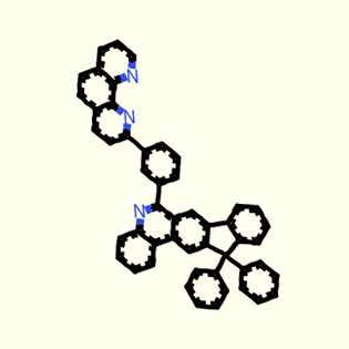 c1ccc(C2(c3ccccc3)c3ccccc3-c3cc4c(-c5cccc(-c6ccc7ccc8cccnc8c7n6)c5)nc5ccccc5c4cc32)cc1